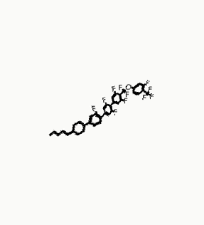 CCCCCC1CCC(c2ccc(-c3cc(F)c(-c4cc(F)c(C(F)(F)Oc5ccc(C(F)(F)F)c(F)c5)c(F)c4)c(F)c3)c(F)c2)CC1